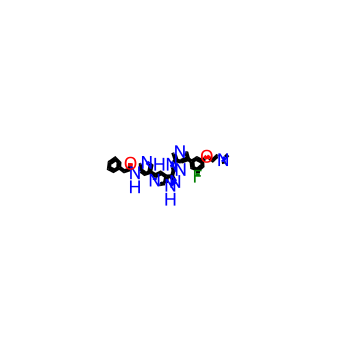 CN(C)CCOc1cc(F)cc(-c2cncc3[nH]c(-c4n[nH]c5cnc(-c6cncc(NC(=O)Cc7ccccc7)c6)cc45)nc23)c1